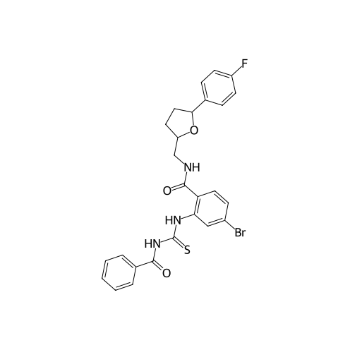 O=C(NC(=S)Nc1cc(Br)ccc1C(=O)NCC1CCC(c2ccc(F)cc2)O1)c1ccccc1